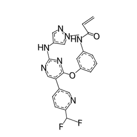 C=CC(=O)Nc1cccc(Oc2nc(Nc3cnn(C)c3)ncc2-c2ccc(C(F)F)nc2)c1